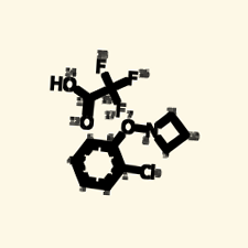 Clc1ccccc1ON1CCC1.O=C(O)C(F)(F)F